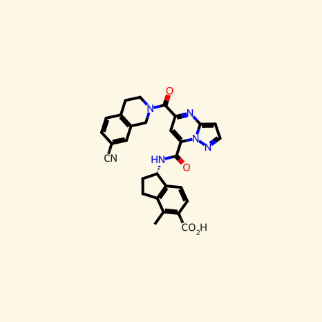 Cc1c(C(=O)O)ccc2c1CC[C@@H]2NC(=O)c1cc(C(=O)N2CCc3ccc(C#N)cc3C2)nc2ccnn12